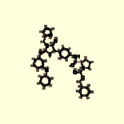 O=C(Nc1ccc(C2S/C(=N\c3cccc(Oc4ccccc4)c3)N(Cc3ccco3)C2=O)cc1)[C@@H]1CCCN1C(=O)OCc1ccccc1